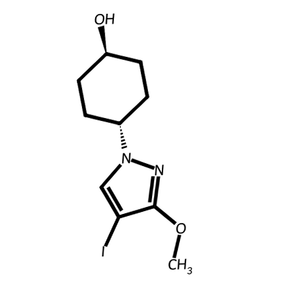 COc1nn([C@H]2CC[C@H](O)CC2)cc1I